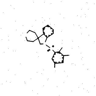 O=S(=O)(c1cc(Cl)cc(Cl)c1O)N1CC2(CCOCC2)c2ccccc21